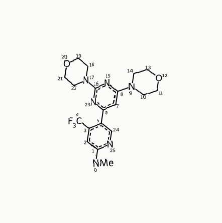 CNc1cc(C(F)(F)F)c(-c2cc(N3CCOCC3)nc(N3CCOCC3)n2)cn1